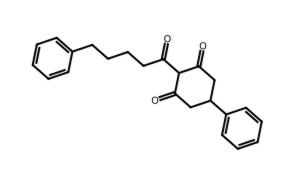 O=C(CCCCc1ccccc1)C1C(=O)CC(c2ccccc2)CC1=O